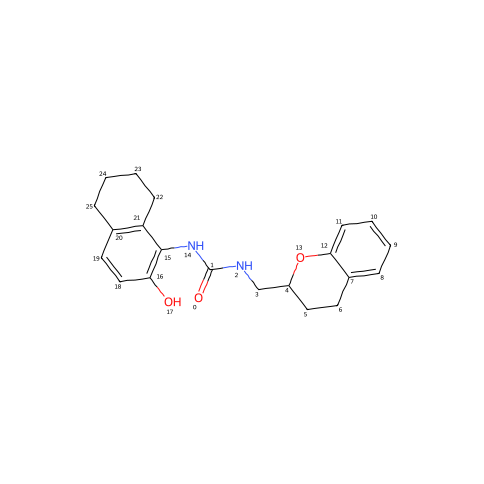 O=C(NCC1CCc2ccccc2O1)Nc1c(O)ccc2c1CCCC2